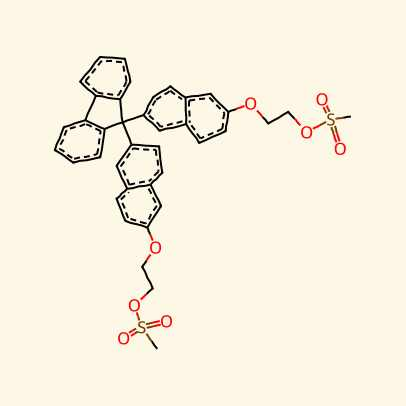 CS(=O)(=O)OCCOc1ccc2cc(C3(c4ccc5cc(OCCOS(C)(=O)=O)ccc5c4)c4ccccc4-c4ccccc43)ccc2c1